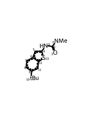 CNC(=O)Nc1cc2ccc(C(C)(C)C)cc2s1